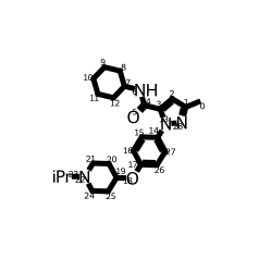 Cc1cc(C(=O)NC2CCCCC2)n(-c2ccc(OC3CCN(C(C)C)CC3)cc2)n1